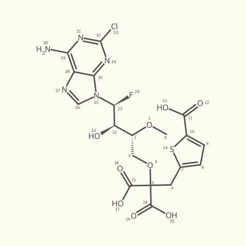 CO[C@H](COC(Cc1ccc(C(=O)O)s1)(C(=O)O)C(=O)O)[C@@H](O)[C@H](F)n1cnc2c(N)nc(Cl)nc21